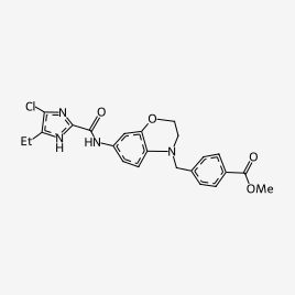 CCc1[nH]c(C(=O)Nc2ccc3c(c2)OCCN3Cc2ccc(C(=O)OC)cc2)nc1Cl